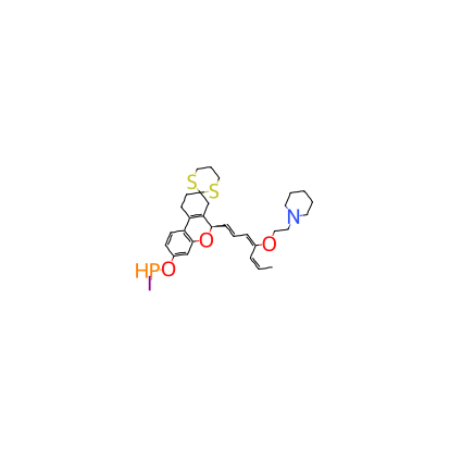 C\C=C/C(=C\C=C\[C@H]1Oc2cc(OPI)ccc2C2=C1CC1(CC2)SCCCS1)OCCN1CCCCC1